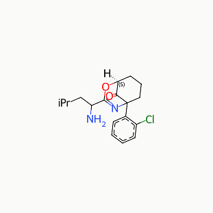 CC(C)CC(N)C1=NC2(c3ccccc3Cl)CCC[C@H](O1)C2=O